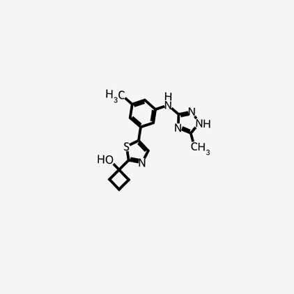 Cc1cc(Nc2n[nH]c(C)n2)cc(-c2cnc(C3(O)CCC3)s2)c1